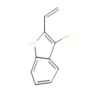 C=Cc1[nH]c2ccccc2c1P